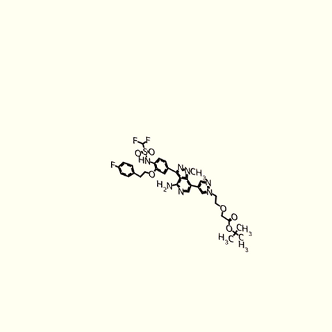 Cn1nc(-c2ccc(NS(=O)(=O)C(F)F)c(OCCc3ccc(F)cc3)c2)c2c(N)ncc(-c3cnn(CCOCC(=O)OC(C)(C)C)c3)c21